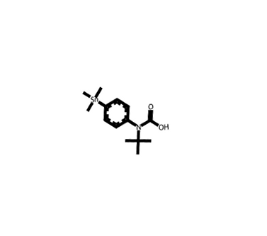 CC(C)(C)N(C(=O)O)c1cc[c]([Sn]([CH3])([CH3])[CH3])cc1